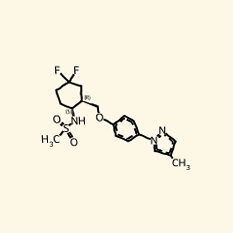 Cc1cnn(-c2ccc(OC[C@@H]3CC(F)(F)CC[C@@H]3NS(C)(=O)=O)cc2)c1